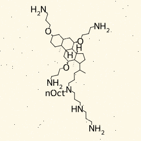 CCCCCCCCN(CCCNCCCN)CCCC(C)C1CC[C@H]2C3[C@H](OCCCN)CC4C[C@H](OCCCN)CC[C@]4(C)[C@H]3C[C@H](OCCCN)[C@]12C